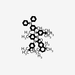 Cc1cc2c3c(c1)N(c1ccc(C(C)(C)C)cc1)c1c(oc4cc5c(cc14)C(C)(C)CCC5(C)C)B3c1cc(C(C)(C)C)ccc1N2c1c(C)cc(N(c2ccccc2)c2ccccc2)cc1C